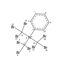 BrC(Br)(Br)[N+](c1ccccc1)(C(Br)(Br)Br)C(Br)(Br)Br